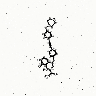 NC(=O)NCC(Cc1ccc(C#Cc2ccc(CN3CCOCC3)cc2)cc1)c1nc[nH]c(=O)c1O